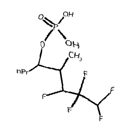 CCCC(OP(=O)(O)O)C(C)C(F)C(F)(F)C(F)F